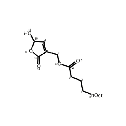 CCCCCCCCCCCC(=O)OCC1=CC(O)OC1=O